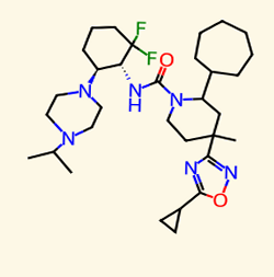 CC(C)N1CCN([C@H]2CCCC(F)(F)[C@@H]2NC(=O)N2CCC(C)(c3noc(C4CC4)n3)CC2C2CCCCCC2)CC1